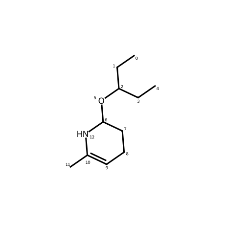 CCC(CC)OC1CCC=C(C)N1